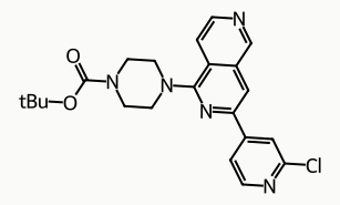 CC(C)(C)OC(=O)N1CCN(c2nc(-c3ccnc(Cl)c3)cc3cnccc23)CC1